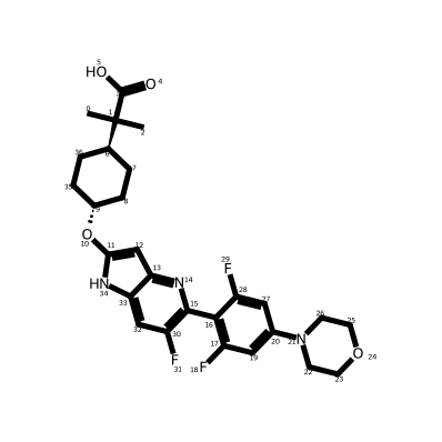 CC(C)(C(=O)O)[C@H]1CC[C@H](Oc2cc3nc(-c4c(F)cc(N5CCOCC5)cc4F)c(F)cc3[nH]2)CC1